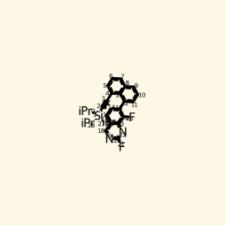 CC(C)[Si](C#Cc1cccc2cccc(-c3c(F)cc4cnc(F)nc4c3F)c12)(C(C)C)C(C)C